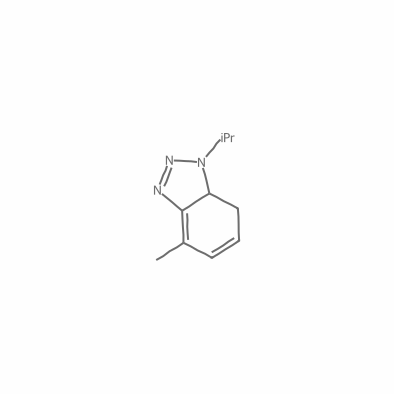 CC1=C2N=NN(C(C)C)C2CC=C1